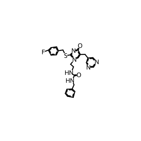 O=C(NCCn1cc(Cc2cncnc2)c(=O)nc1SCc1ccc(F)cc1)NCc1ccccc1